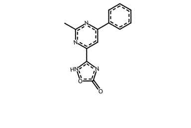 Cc1nc(-c2ccccc2)cc(-c2nc(=O)o[nH]2)n1